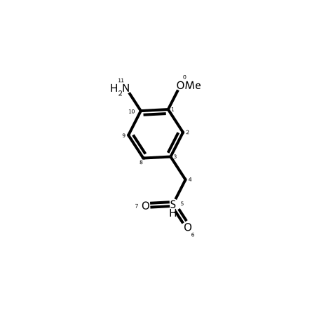 COc1cc(C[SH](=O)=O)ccc1N